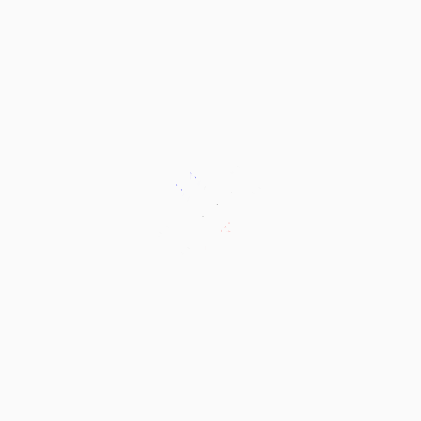 COC(=O)C(C#N)(c1ccc(C)cc1)C(C#N)(C(=O)OC)c1ccc(C)cc1